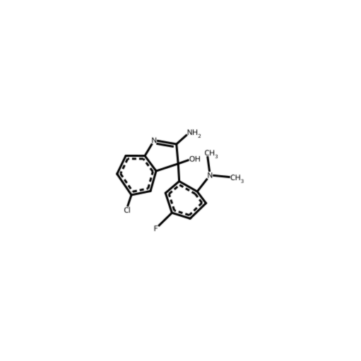 CN(C)c1ccc(F)cc1C1(O)C(N)=Nc2ccc(Cl)cc21